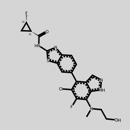 CN(CCO)c1c(F)c(Cl)c(-c2ccc3nc(NC(=O)[C@@H]4C[C@@H]4F)sc3c2)c2cn[nH]c12